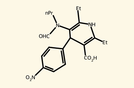 CCCN(C=O)C1=C(CC)NC(CC)=C(C(=O)O)C1c1ccc([N+](=O)[O-])cc1